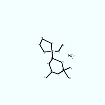 CC[N+]1(C2CC(C)CC(C)(C)C2)CCCC1.[OH-]